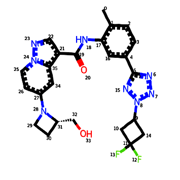 Cc1ccc(-c2nnn(C3CC(F)(F)C3)n2)cc1NC(=O)c1cnn2ccc(N3CC[C@H]3CO)cc12